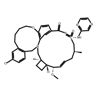 CO[C@H]1/C=C/C[C@H](C)C[S@@](=O)(Nc2cnccn2)=NC(=O)c2ccc3c(c2)N(Cc2ccc(Cl)cc2CCCCO3)C[C@@H]2CC[C@H]21